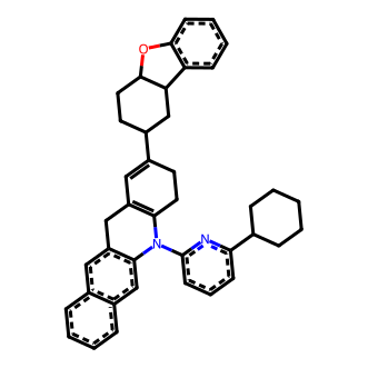 C1=C(C2CCC3Oc4ccccc4C3C2)CCC2=C1Cc1cc3ccccc3cc1N2c1cccc(C2CCCCC2)n1